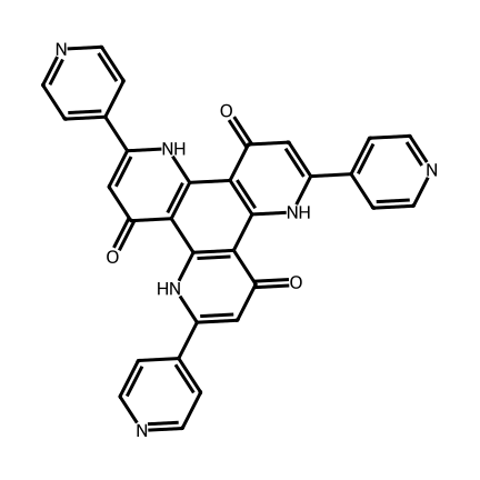 O=c1cc(-c2ccncc2)[nH]c2c1c1[nH]c(-c3ccncc3)cc(=O)c1c1[nH]c(-c3ccncc3)cc(=O)c21